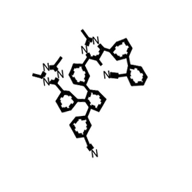 Cc1nc(C)nc(-c2cccc(-c3c(-c4cccc(C#N)c4)cccc3-c3cccc(-c4nc(C)nc(-c5cccc(-c6ccccc6C#N)c5)c4C)c3)c2)n1